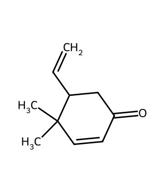 C=CC1CC(=O)C=CC1(C)C